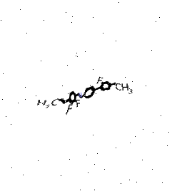 CCCc1ccc(/C=C/c2ccc(-c3ccc(CC)cc3F)cc2)c(F)c1F